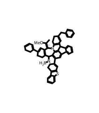 BN(C)C1C2=C(C=C(C3=CC=CCC3)CC2)/C(=C(/C)OC)N(C2=CC=C(Cc3ccccc3)CC2)c2c3c(cc(C4=Cc5sc6ccccc6c5CC4)c21)-c1ccccc1C3C